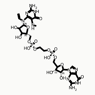 C=CN(c1nc(N)[nH]c(=O)c1NC)[C@@H]1O[C@H](COP(=O)(O)OCCOP(=O)(O)OCC2OC(n3cnc4c(=O)[nH]c(N)nc43)[C@H](O)[C@@H]2O)C(O)C1O